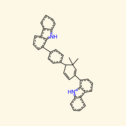 CC1(C)C=C(c2cccc3c2[nH]c2ccccc23)C=CC1c1ccc(-c2cccc3c2[nH]c2ccccc23)cc1